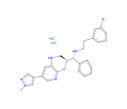 Cl.Cl.Cn1cc(-c2cnc3c(c2)NC[C@@H]([C@H](NCCc2cccc(Br)c2)c2ccccc2)O3)cn1